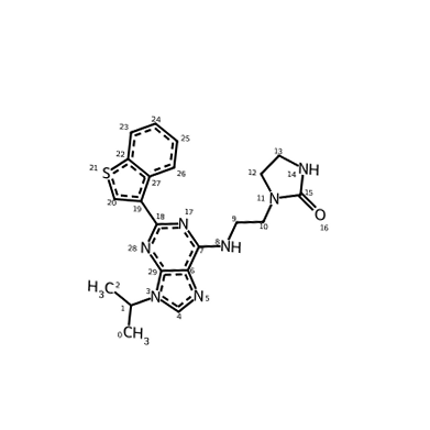 CC(C)n1cnc2c(NCCN3CCNC3=O)nc(-c3csc4ccccc34)nc21